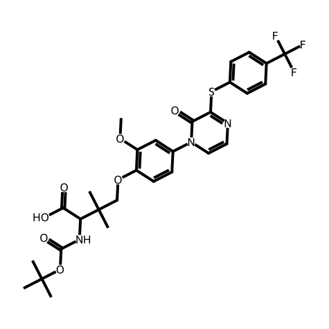 COc1cc(-n2ccnc(Sc3ccc(C(F)(F)F)cc3)c2=O)ccc1OCC(C)(C)C(NC(=O)OC(C)(C)C)C(=O)O